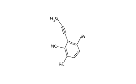 CC(C)c1ccc(C#N)c(C#N)c1C#C[SiH3]